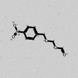 O=[C]OCOCc1ccc([N+](=O)[O-])cc1